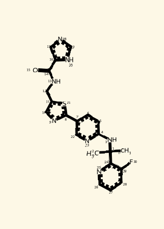 CC(C)(Nc1ccc(-c2ncc(CNC(=O)c3cnc[nH]3)s2)cn1)c1ncccc1F